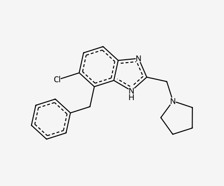 Clc1ccc2nc(CN3CCCC3)[nH]c2c1Cc1ccccc1